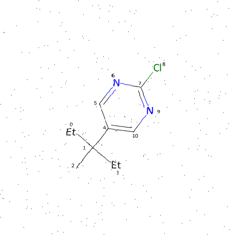 CCC(C)(CC)c1cnc(Cl)nc1